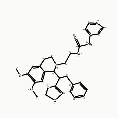 COc1cc2c(cc1OC)C(C(Cc1ccccc1)C1=COCO1)N(CCNC(=O)Nc1ccncc1)CC2